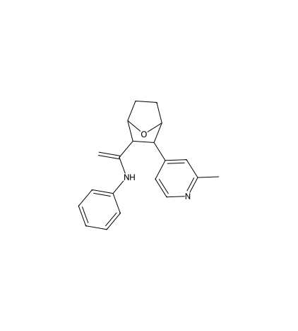 C=C(Nc1ccccc1)C1C2CCC(O2)C1c1ccnc(C)c1